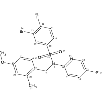 COc1ccc(CN(c2ccc(F)cn2)S(=O)(=O)c2ccc(F)c(Br)c2)c(C)c1